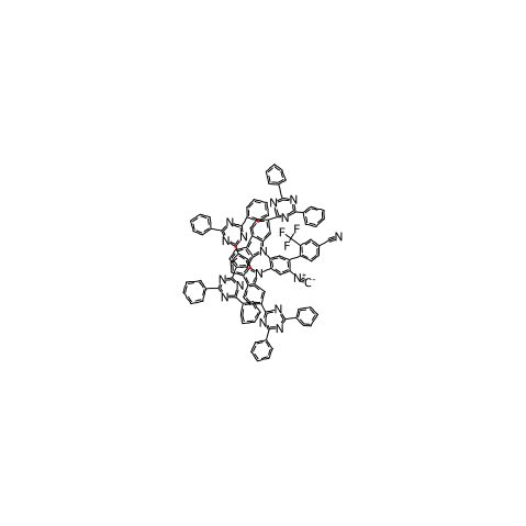 [C-]#[N+]c1cc(-n2c3cc(-c4nc(-c5ccccc5)nc(-c5ccccc5)n4)ccc3c3ccc(-c4nc(-c5ccccc5)nc(-c5ccccc5)n4)cc32)c(-n2c3cc(-c4nc(-c5ccccc5)nc(-c5ccccc5)n4)ccc3c3ccc(-c4nc(-c5ccccc5)nc(-c5ccccc5)n4)cc32)cc1-c1ccc(C#N)cc1C(F)(F)F